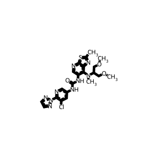 COCC(COC)N(C)c1c(NC(=O)Nc2cnc(-n3nccn3)c(Cl)c2)cnc2sc(C)nc12